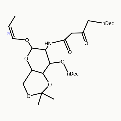 C/C=C\OC1OC2COC(C)(C)OC2C(OCCCCCCCCCC)C1NC(=O)CC(=O)CCCCCCCCCCC